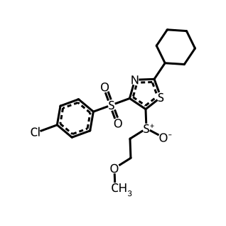 COCC[S+]([O-])c1sc(C2CCCCC2)nc1S(=O)(=O)c1ccc(Cl)cc1